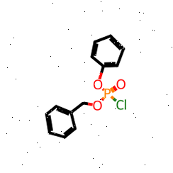 O=P(Cl)(OCc1ccccc1)Oc1ccccc1